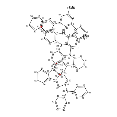 CC(C)(C)c1cc(-c2ccccc2)c(N2c3cc(-c4ccccc4)ccc3B3c4ccc(-n5c6ccccc6c6cc(N(c7ccccc7)c7ccccc7)ccc65)cc4N(c4ccccc4-c4ccccc4)c4cc(C(C)(C)C)cc2c43)c(-c2ccccc2)c1